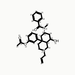 C=CCN1CCC2(c3cccc(OC(C)=O)c3)C[C@H](N(C)C(=O)c3ccccc3)CC(O)C2C1